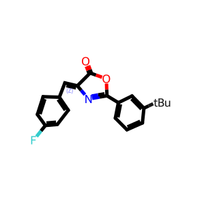 CC(C)(C)c1cccc(C2=N/C(=C\c3ccc(F)cc3)C(=O)O2)c1